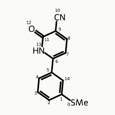 CSc1cccc(-c2ccc(C#N)c(=O)[nH]2)c1